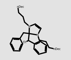 CCCCCCCCCCCCCN1C=CN(CCCCCCCCCCCCC)C1(Cc1ccccc1)C(CC)c1ccccc1